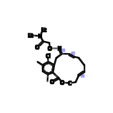 CCN(CC)C(=O)CO/N=C1/C=C/CC/C=C/CCOC(=O)c2c(C)cc(C)c(Cl)c2C1